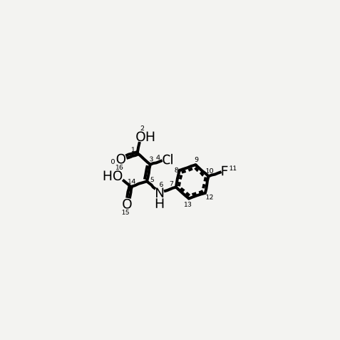 O=C(O)C(Cl)=C(Nc1ccc(F)cc1)C(=O)O